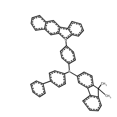 CC1(C)c2ccccc2-c2cc(N(c3ccc(-c4ccccc4)cc3)c3ccc(-n4c5ccccc5c5cc6ccccc6cc54)cc3)ccc21